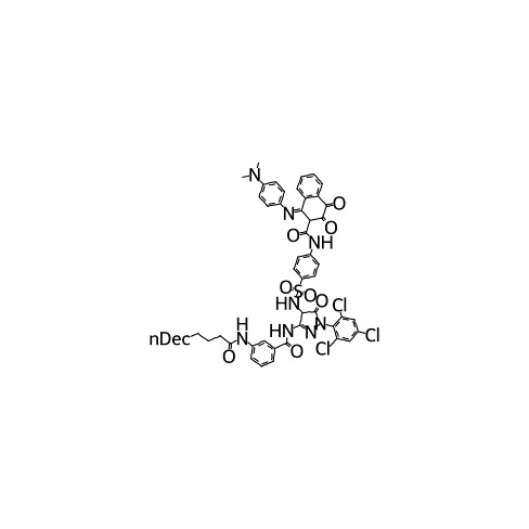 CCCCCCCCCCCCCC(=O)Nc1cccc(C(=O)NC2=NN(c3c(Cl)cc(Cl)cc3Cl)C(=O)C2NS(=O)(=O)c2ccc(NC(=O)C3C(=O)C(=O)c4ccccc4C3=Nc3ccc(N(C)C)cc3)cc2)c1